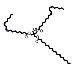 CCCCCC=CCC=CCCCCCCCC(=O)OCC(CO)(COC(=O)CCCCCCC/C=C\C/C=C\CCCCC)COC(=O)CCCCCCC/C=C\C/C=C\CCCCC